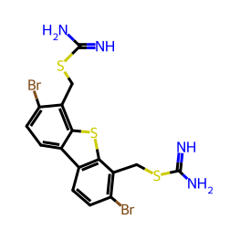 N=C(N)SCc1c(Br)ccc2c1sc1c(CSC(=N)N)c(Br)ccc12